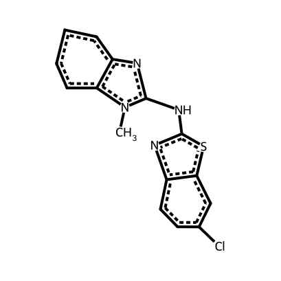 Cn1c(Nc2nc3ccc(Cl)cc3s2)nc2ccccc21